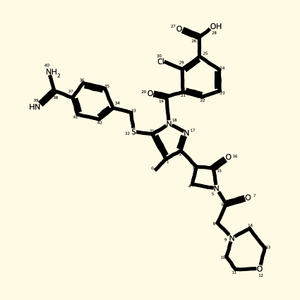 Cc1c(C2CN(C(=O)CN3CCOCC3)C2=O)nn(C(=O)c2cccc(C(=O)O)c2Cl)c1SCc1ccc(C(=N)N)cc1